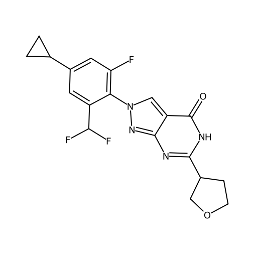 O=c1[nH]c(C2CCOC2)nc2nn(-c3c(F)cc(C4CC4)cc3C(F)F)cc12